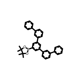 CC1(C)OB(c2cc(-c3cccc(-c4ccccc4)c3)cc(-c3cccc(-c4ccccc4)c3)c2)OC1(C)C